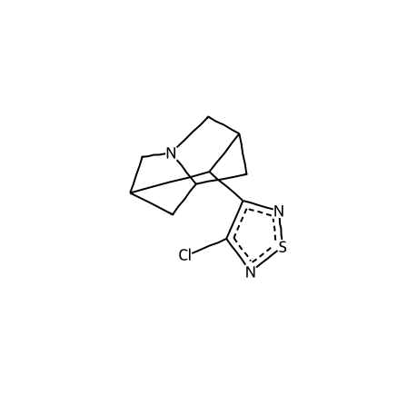 Clc1nsnc1C1C2CC3CC1CN3C2